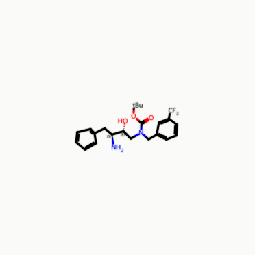 CC(C)(C)OC(=O)N(Cc1cccc(C(F)(F)F)c1)C[C@@H](O)[C@@H](N)Cc1ccccc1